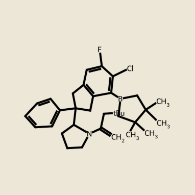 C=C(CC(C)(C)C)N1CCCC1C1(c2ccccc2)Cc2cc(F)c(Cl)c(B3CC(C)(C)C(C)(C)C3)c2C1